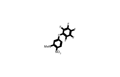 CNc1cc(Oc2c(F)c(F)c(F)c(F)c2F)ccc1[N+](=O)[O-]